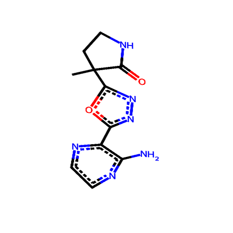 CC1(c2nnc(-c3nccnc3N)o2)CCNC1=O